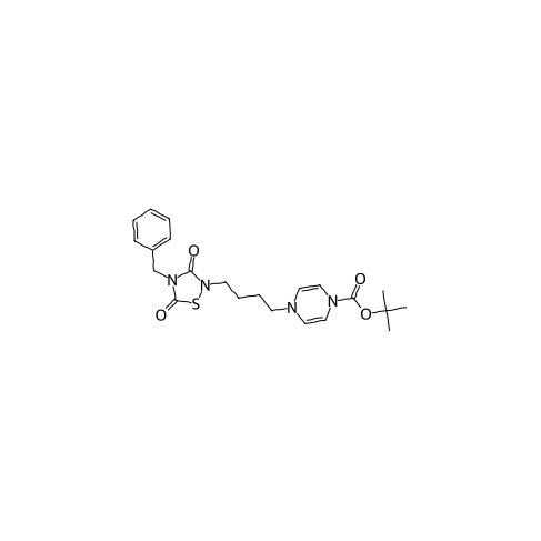 CC(C)(C)OC(=O)N1C=CN(CCCCn2sc(=O)n(Cc3ccccc3)c2=O)C=C1